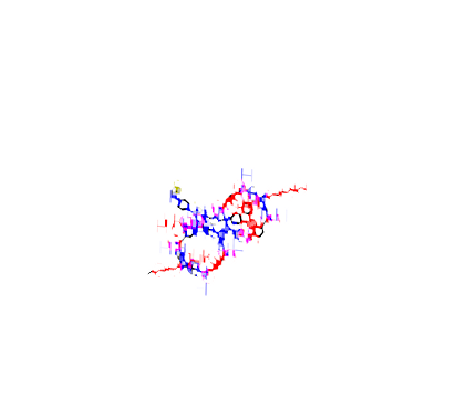 CCCOCCOCCN1CCNC(=O)c2ccc(c(O)c2O)C(=O)NCCN(CCN2CCNC(=O)c3ccc(c(OCc4ccccc4)c3OCc3ccccc3)C(=O)NCCN(CCOCCOCCOC)CCNC(=O)c3ccc(c(O)c3O)C(=O)NC(CCCCNC(=S)Nc3ccc(N=C=S)cc3)C2)CCNC(=O)c2ccc(c(O)c2O)C(=O)NCC1